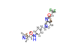 Cc1nc(C)c(CC(=O)N[C@H]2CC[C@H](CCN3CCc4sc(OCC(F)F)nc4C3)CC2)s1